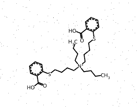 CCCC[N+](CCCC)(CCCCSc1ccccc1C(=O)O)CCCCSc1ccccc1C(=O)O